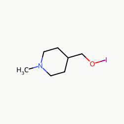 CN1CCC(COI)CC1